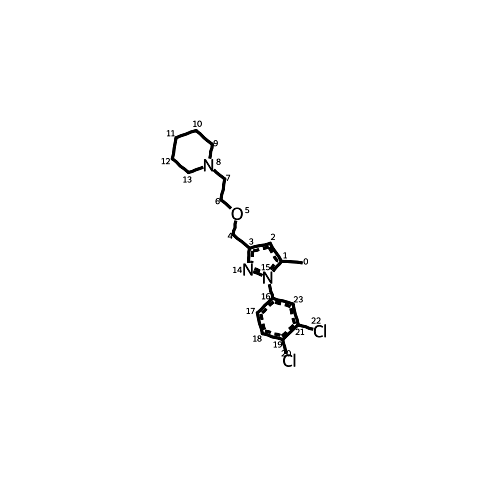 Cc1cc(COCCN2CCCCC2)nn1-c1ccc(Cl)c(Cl)c1